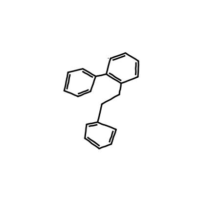 [c]1cccc(CCc2ccccc2)c1-c1ccccc1